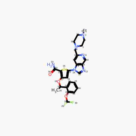 CCN1CCN(Cc2cc3c(cn2)ncn3-c2cc(OC(C)c3ccccc3OC(F)F)c(C(N)=O)s2)CC1